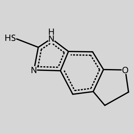 Sc1nc2cc3c(cc2[nH]1)OCC3